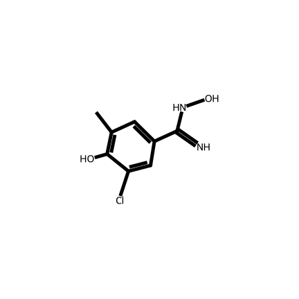 Cc1cc(C(=N)NO)cc(Cl)c1O